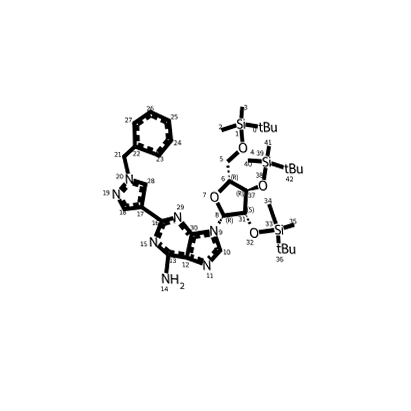 CC(C)(C)[Si](C)(C)OC[C@H]1O[C@@H](n2cnc3c(N)nc(-c4cnn(Cc5ccccc5)c4)nc32)[C@@H](O[Si](C)(C)C(C)(C)C)[C@@H]1O[Si](C)(C)C(C)(C)C